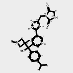 CC(C)c1ccc(C(O)(c2cncc(-c3noc(CN4C(=O)CNC4=O)n3)c2)C2(C)CN(C)C2)cc1